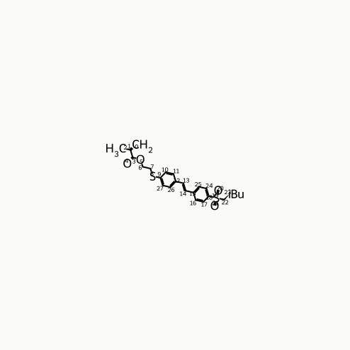 C=C(C)C(=O)OCCSc1ccc(C=Cc2ccc(S(=O)(=O)C[C@H](C)CC)cc2)cc1